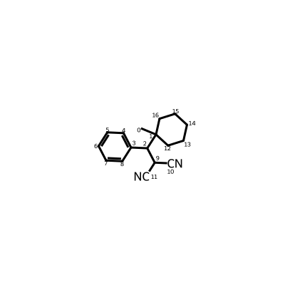 CC1(C(c2ccccc2)C(C#N)C#N)CCCCC1